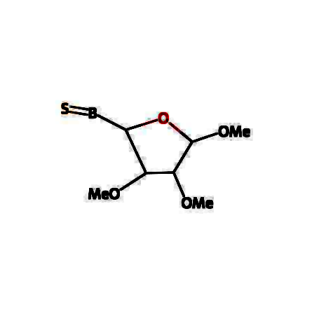 COC1OC(B=S)C(OC)C1OC